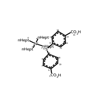 CCCCCCC[N+](CCCCCCC)(CCCCCCC)CCCCCCC.O=C(O)c1ccc(Sc2ccc(C(=O)O)cc2)cc1